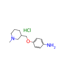 CN1CCCC(COc2ccc(N)cc2)C1.Cl